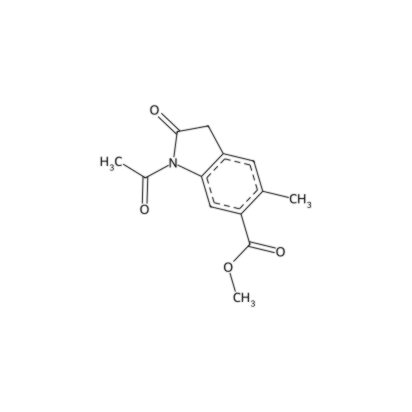 COC(=O)c1cc2c(cc1C)CC(=O)N2C(C)=O